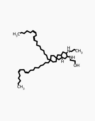 CCCCC/C=C\C/C=C\CCCCCCCCC1(CCCCCCCC/C=C\C/C=C\CCCCC)CCC2(CC1)CC1CC(NCCC)C(NCCO)C[C@@H]1C2